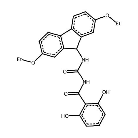 CCOc1ccc2c(c1)C(NC(=O)NC(=O)c1c(O)cccc1O)c1cc(OCC)ccc1-2